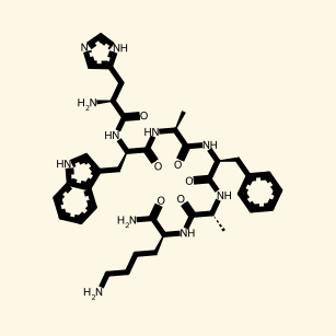 C[C@H](NC(=O)[C@@H](Cc1c[nH]c2ccccc12)NC(=O)[C@@H](N)Cc1cnc[nH]1)C(=O)N[C@@H](Cc1ccccc1)C(=O)N[C@H](C)C(=O)N[C@@H](CCCCN)C(N)=O